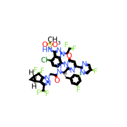 CS(=O)(=O)Nc1nn(CC(F)F)c2c(-n3c([C@H](Cc4cc(F)cc(F)c4)NC(=O)Cn4nc(C(F)F)c5c4C(F)(F)[C@@H]4C[C@H]54)nc(-c4ncc(F)cn4)cc3=O)ccc(Cl)c12